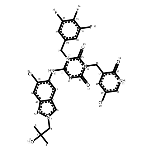 CC(C)(O)Cn1cc2cc(Nc3nc(=O)n(Cc4cc(Cl)c[nH]c4=O)c(=O)n3Cc3cc(F)c(F)c(F)c3)c(Cl)cc2n1